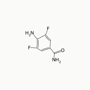 NC(=O)c1cc(F)c(N)c(F)c1